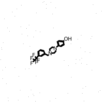 Oc1ccc(N2CCN(Cc3cccc(C(F)(F)C(F)(F)F)c3)CC2)cc1